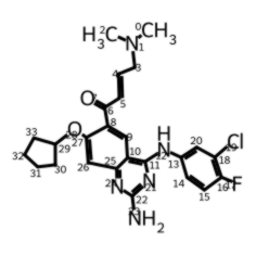 CN(C)CC=CC(=O)c1cc2c(Nc3ccc(F)c(Cl)c3)nc(N)nc2cc1OC1CCCC1